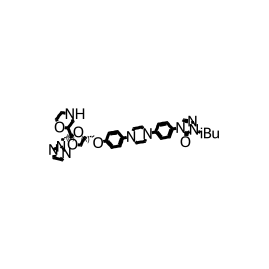 CCC(C)n1ncn(-c2ccc(N3CCN(c4ccc(OC[C@@H]5CO[C@@](Cn6nccn6)(C6CNCCO6)O5)cc4)CC3)cc2)c1=O